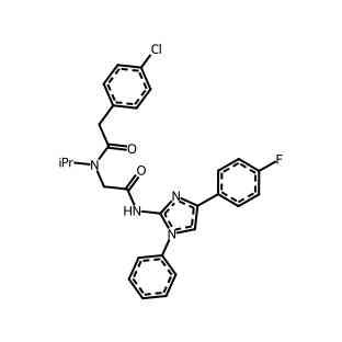 CC(C)N(CC(=O)Nc1nc(-c2ccc(F)cc2)cn1-c1ccccc1)C(=O)Cc1ccc(Cl)cc1